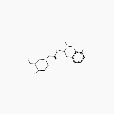 NCC1CN(CC(=O)NC2Cc3cccc(C(=O)O)c3OB2O)CCC1N